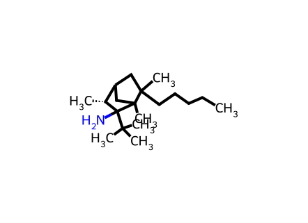 CCCCCC1(C)CC2CC1(C)C(N)(C(C)(C)C)[C@@H]2C